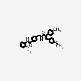 CSc1ccc(/C=C(/C(=O)NCc2ccc(C(=O)Nc3ccccc3N)cc2)c2ccc(C)cc2)cc1